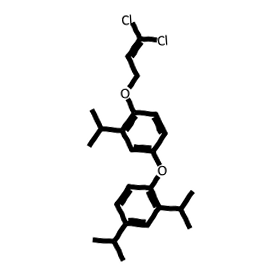 CC(C)c1ccc(Oc2ccc(OCC=C(Cl)Cl)c(C(C)C)c2)c(C(C)C)c1